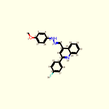 COc1ccc(N/N=C/c2cc(-c3ccc(F)cc3)nc3ccccc23)cc1